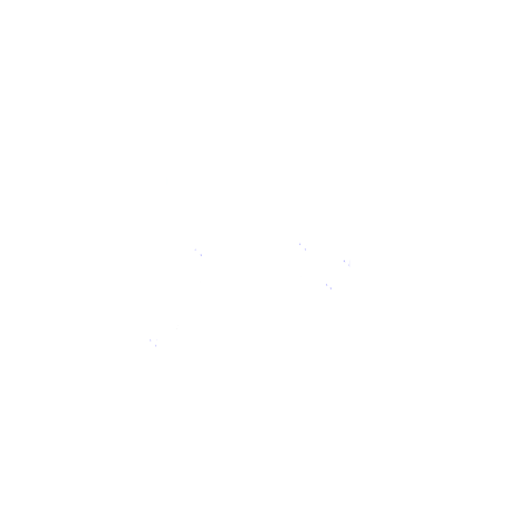 Cn1cnc(COCc2nc(C(F)(F)F)ccc2C(N)=O)n1